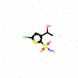 CC(O)c1cc(Cl)sc1S(N)(=O)=O